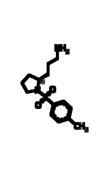 Cc1ccc(S(=O)(=O)N2CCC[C@H]2CCCN)cc1